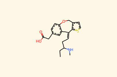 CCC(CC=C1c2cc(CC(=O)O)ccc2OCc2ccsc21)NC